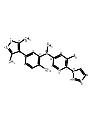 Cc1ccc(-c2c(C)noc2C)cc1N(C)c1cnc(-n2ccnn2)c(Br)c1